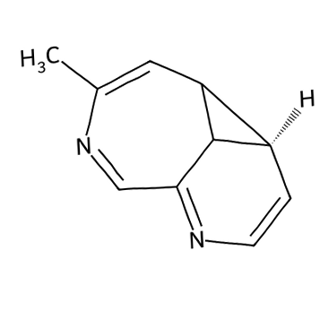 CC1=CC2C3C(=NC=C[C@H]23)C=N1